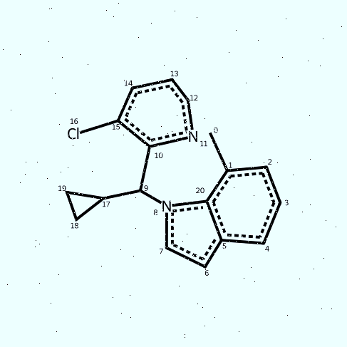 Cc1cccc2ccn(C(c3ncccc3Cl)C3CC3)c12